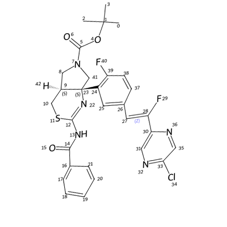 CC(C)(C)OC(=O)N1C[C@@H]2CSC(NC(=O)c3ccccc3)=N[C@@]2(c2cc(/C=C(\F)c3cnc(Cl)cn3)ccc2F)C1